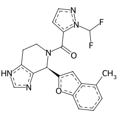 Cc1cccc2oc([C@H]3c4nc[nH]c4CCN3C(=O)c3ccnn3C(F)F)cc12